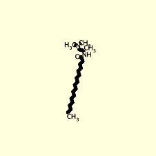 CCCCCCCCCCCCCCCCCC(=O)NC(C)CN(C)C